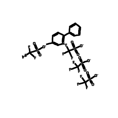 Cc1ccc(-c2ccccc2)nc1.O=S(=O)([O-])C(F)(F)F.O=S(=O)([O-])C(F)(F)F.O=S(=O)([O-])C(F)(F)F.O=S(=O)([O-])C(F)(F)F.[Ir+4]